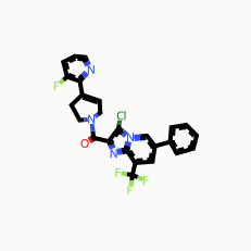 O=C(c1nc2c(C(F)(F)F)cc(-c3ccccc3)cn2c1Cl)N1CC=C(c2ncccc2F)CC1